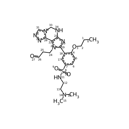 CCCOc1ccc(S(=O)(=O)NCCN(C)C)cc1-c1nc2c(n1CCC=O)-c1nncn1CN2